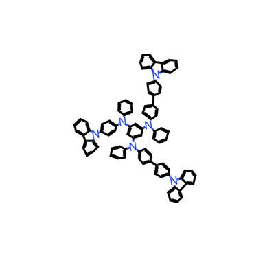 c1ccc(N(c2ccc(-c3ccc(-n4c5ccccc5c5ccccc54)cc3)cc2)c2cc(N(c3ccccc3)c3ccc(-c4ccc(-n5c6ccccc6c6ccccc65)cc4)cc3)cc(N(c3ccccc3)c3ccc(-n4c5ccccc5c5ccccc54)cc3)c2)cc1